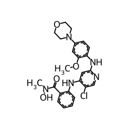 COc1cc(N2CCOCC2)ccc1Nc1cc(Nc2ccccc2C(=O)N(C)O)c(Cl)cn1